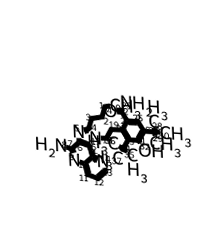 CCCCc1nc2c(N)nc3cccnc3c2n1CCc1c(C(N)=O)cc(C(C)(C)C)c(O)c1C(C)(C)C